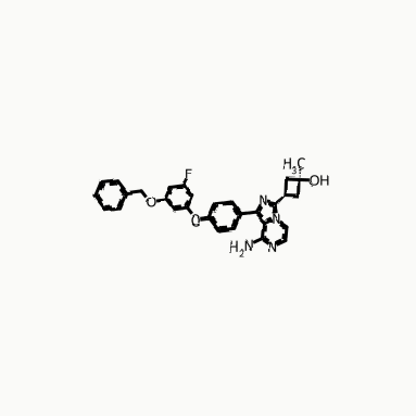 C[C@]1(O)C[C@@H](c2nc(-c3ccc(Oc4cc(F)cc(OCc5ccccc5)c4)cc3)c3c(N)nccn32)C1